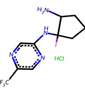 Cl.NC1CCCC1(I)Nc1cnc(C(F)(F)F)cn1